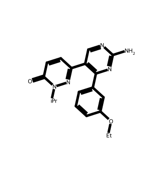 CCOc1cccc(-c2nc(N)ncc2-c2ccc(=O)n(C(C)C)n2)c1